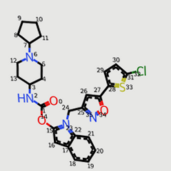 O=C(NC1CCN(C2CCCC2)CC1)Oc1cc2ccccc2n1Cc1cc(-c2ccc(Cl)s2)on1